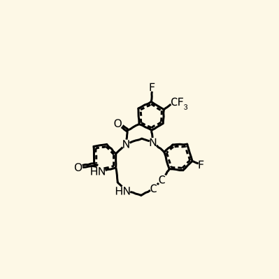 O=C1c2cc(F)c(C(F)(F)F)cc2N2CN1c1ccc(=O)[nH]c1CNCCCc1cc(F)ccc12